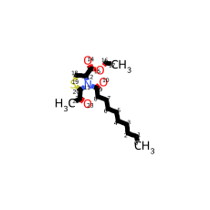 CCCCCCCCCC(=O)N1C(C(=O)OCC)CSC1C(C)=O